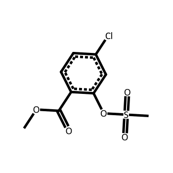 COC(=O)c1ccc(Cl)cc1OS(C)(=O)=O